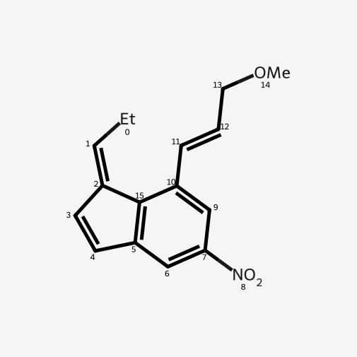 CC/C=C1/C=Cc2cc([N+](=O)[O-])cc(/C=C/COC)c21